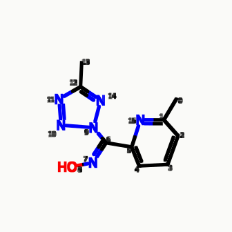 Cc1cccc(C(=NO)n2nnc(C)n2)n1